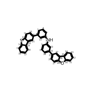 c1cc(Nc2cccc(-c3ccc4sc5ccccc5c4c3)c2)cc(-c2ccc3oc4ccccc4c3c2)c1